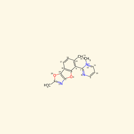 Cc1nc2oc3c(-c4nccc[n+]4C)c(C)ccc3c2o1